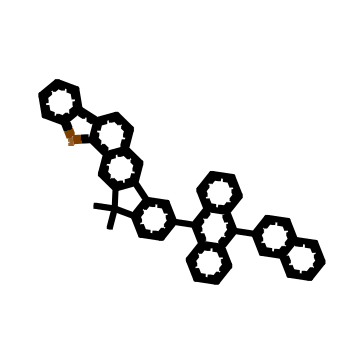 CC1(C)c2ccc(-c3c4ccccc4c(-c4ccc5ccccc5c4)c4ccccc34)cc2-c2cc3ccc4c5ccccc5sc4c3cc21